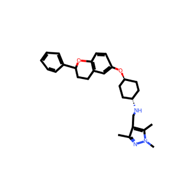 Cc1nn(C)c(C)c1CN[C@H]1CC[C@H](Oc2ccc3c(c2)CCC(c2ccccc2)O3)CC1